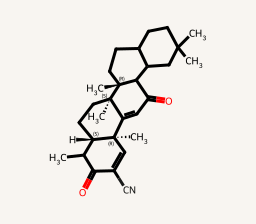 CC1C(=O)C(C#N)=C[C@]2(C)C3=CC(=O)C4C5CC(C)(C)CCC5CC[C@@]4(C)[C@]3(C)CC[C@@H]12